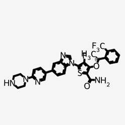 C[C@@H](Oc1c(C(N)=O)sc(-n2cnc3cc(-c4ccc(N5CCNCC5)nc4)ccc32)c1F)c1ccccc1C(F)(F)F